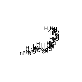 CCCNC(=O)CCNC(=O)c1nc(NC(=O)CCNC(=O)c2cc(NC(=O)c3nc(NC(=O)CCNC(=O)c4cc(NC(=O)c5nc(N)cn5C)cn4C)cn3C)cn2C)cn1C